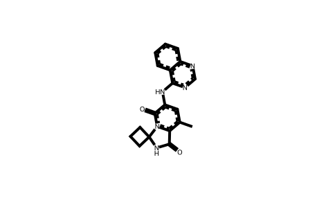 Cc1cc(Nc2ncnc3ccccc23)c(=O)n2c1C(=O)NC21CCC1